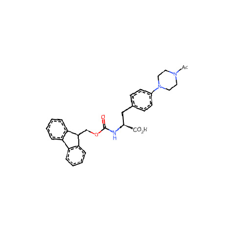 CC(=O)N1CCN(c2ccc(C[C@H](NC(=O)OCC3c4ccccc4-c4ccccc43)C(=O)O)cc2)CC1